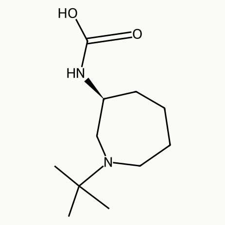 CC(C)(C)N1CCCC[C@H](NC(=O)O)C1